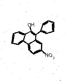 O=[N+]([O-])c1ccc2c(c1)c(-c1ccccc1)c(O)c1ccccc12